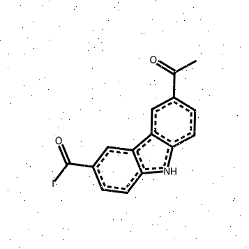 CC(=O)c1ccc2[nH]c3ccc(C(=O)I)cc3c2c1